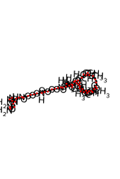 CCO[C@@H]1C[C@@H]([C@H](C)C[C@@H]2CC[C@H](n3cc(COC(=O)NCCOCCOCCOCCC(=O)NCCOCCOCCOCCC(=O)NCCCCn4nc(-c5ccc6oc(N)nc6c5)c5c(N)ncnc54)nn3)[C@H](OC)C2)OC(=O)[C@@H]2CCCCN2C(=O)C(=O)[C@]2(O)O[C@@H](CC[C@H]2C)C[C@H](OC)/C(C)=C/C=C/C=C/[C@@H](C)C[C@@H](C)C(=O)[C@H](O)[C@H](O)/C(C)=C/C1C